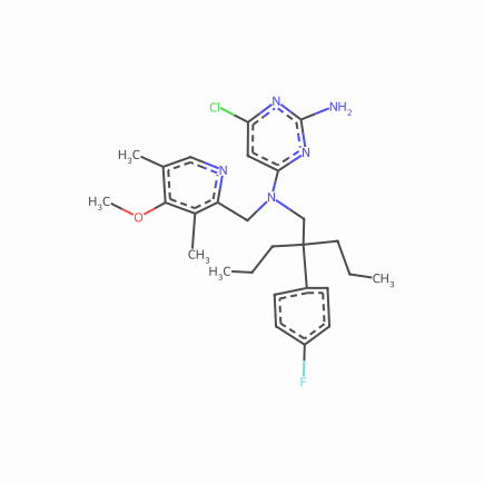 CCCC(CCC)(CN(Cc1ncc(C)c(OC)c1C)c1cc(Cl)nc(N)n1)c1ccc(F)cc1